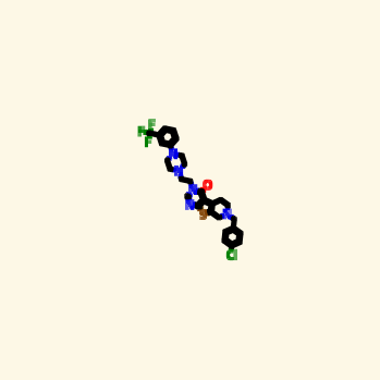 O=c1c2c3c(sc2ncn1CCN1CCN(c2cccc(C(F)(F)F)c2)CC1)CN(Cc1ccc(Cl)cc1)CC3